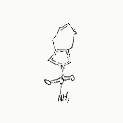 NS(=O)(=O)n1cc2c(c1)SC=CC2